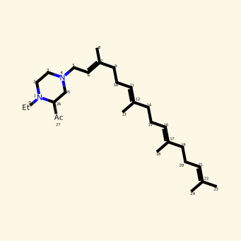 CCN1CCN(C/C=C(\C)CC/C=C(\C)CC/C=C(\C)CCC=C(C)C)CC1C(C)=O